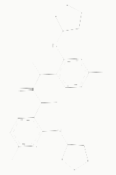 Cc1ccc(C(C)C(=O)C(C)c2ccc(C)nc2NC2CCCC2)c(NC2CCCC2)n1